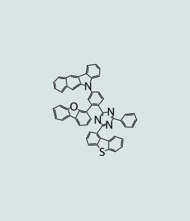 c1ccc(-c2nc(-c3ccc(-n4c5ccccc5c5cc6ccccc6cc54)cc3-c3cccc4c3oc3ccccc34)nc(-c3cccc4sc5ccccc5c34)n2)cc1